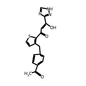 CC(=O)c1ccc(Cc2ccsc2C(=O)C=C(O)c2nc[nH]n2)cc1